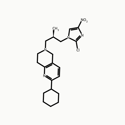 C[C@H](CN1CCc2nc(C3CCCCC3)ccc2C1)Cn1cc([N+](=O)[O-])nc1Cl